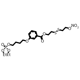 CCOP(=O)(OCC)OCCCCOc1cccc(C(=O)OCCSSCCO[N+](=O)[O-])c1